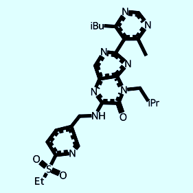 CCC(C)c1ncnc(C)c1-c1ncc2nc(NCc3ccc(S(=O)(=O)CC)nc3)c(=O)n(CC(C)C)c2n1